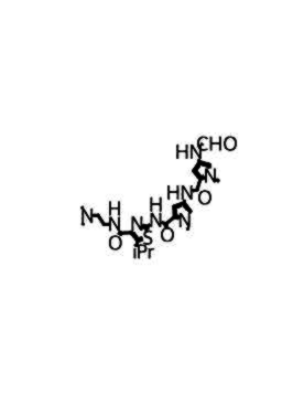 CC(C)c1sc(NC(=O)c2cc(NC(=O)c3cc(NC=O)cn3C)cn2C)nc1C(=O)NCCN(C)C